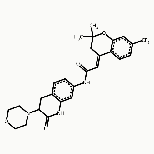 CC1(C)C/C(=C\C(=O)Nc2ccc3c(c2)NC(=O)C(N2CCOCC2)C3)c2ccc(C(F)(F)F)cc2O1